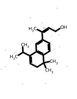 C/C(=C/CO)c1ccc2c(c1)C(C(C)C)=CCC2(C)C